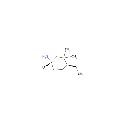 CC[C@H]1CC[C@](C)(N)CC1(C)C